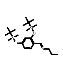 CCCN=Cc1ccc(O[Si](C)(C)C(C)(C)C)cc1O[Si](C)(C)C(C)(C)C